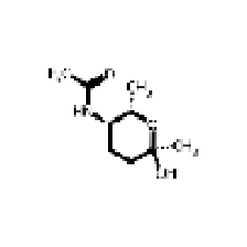 C[C@@H]1O[C@@](C)(O)CC[C@H]1NC(=O)C(F)(F)F